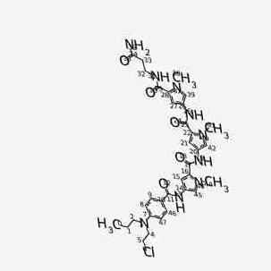 CCCN(CCCl)c1ccc(C(=O)Nc2cc(C(=O)Nc3cc(C(=O)Nc4cc(C(=O)NCCC(N)=O)n(C)c4)n(C)c3)n(C)c2)cc1